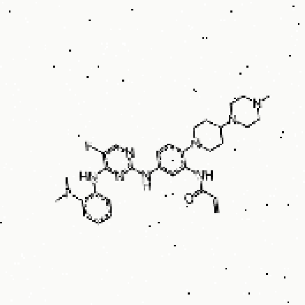 C=CC(=O)Nc1cc(Nc2ncc(F)c(Nc3ccccc3P(C)C)n2)ccc1N1CCC(N2CCN(C)CC2)CC1